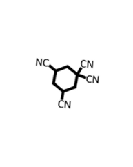 N#CC1CC(C#N)CC(C#N)(C#N)C1